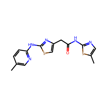 Cc1ccc(Nc2nc(CC(=O)Nc3ncc(C)s3)cs2)nc1